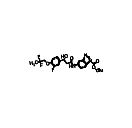 CC(F)(F)COc1ccc(C(O)CC(=O)Nc2ccc3c(c2)ncn3C(=O)OC(C)(C)C)cc1F